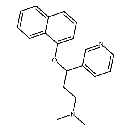 CN(C)CCC(Oc1cccc2ccccc12)c1cccnc1